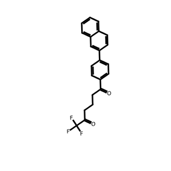 O=C(CCCC(=O)C(F)(F)F)c1ccc(-c2ccc3ccccc3c2)cc1